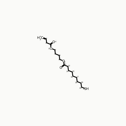 C=CCC(=O)OCCCCOC(=O)CCCCCCCCS